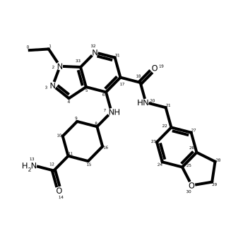 CCn1ncc2c(NC3CCC(C(N)=O)CC3)c(C(=O)NCc3ccc4c(c3)CCO4)cnc21